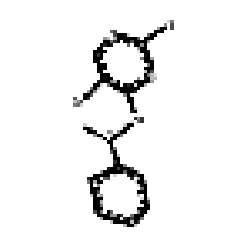 C[C@@H](Nc1nc(Cl)ncc1Br)c1ccccc1